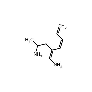 C=C/C=C\C(=C/N)CC(C)N